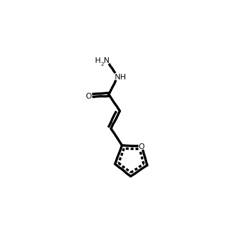 NNC(=O)C=Cc1ccco1